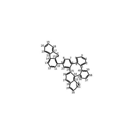 c1ccc2c(c1)-c1ccc(-c3cccc4c3sc3ccccc34)cc1-c1ccc3cccnc3c1-c1ccccc1-2